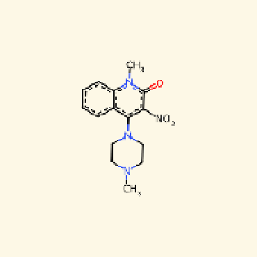 CN1CCN(c2c([N+](=O)[O-])c(=O)n(C)c3ccccc23)CC1